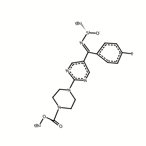 CC(C)(C)OC(=O)N1CCN(c2ncc(C(=N[S@@+]([O-])C(C)(C)C)c3ccc(F)cc3)cn2)CC1